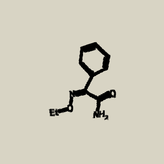 CCO/N=C(\C(N)=O)c1ccccc1